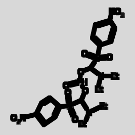 CCN(CC)C(O[PH](=O)OC(N(CC)CC)S(=O)(=O)c1ccc([N+](=O)[O-])cc1)S(=O)(=O)c1ccc([N+](=O)[O-])cc1